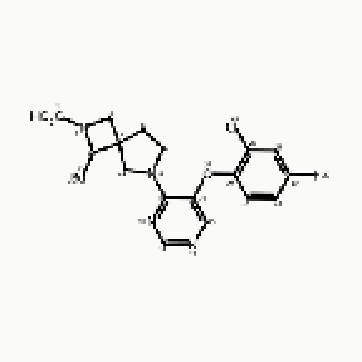 CC(C)(C)C1N(C(=O)O)CC12CCN(c1ncncc1Oc1ccc(F)cc1Cl)C2